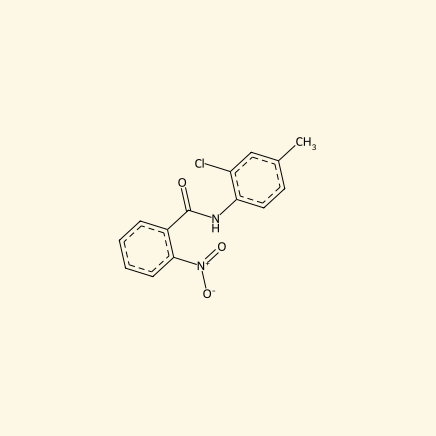 Cc1ccc(NC(=O)c2ccccc2[N+](=O)[O-])c(Cl)c1